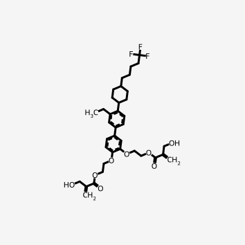 C=C(CO)C(=O)OCCOc1ccc(-c2ccc(C3CCC(CCCCC(F)(F)F)CC3)c(CC)c2)cc1OCCOC(=O)C(=C)CO